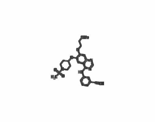 C#Cc1cccc(Nc2ncnc3cc(OCCOC)c(OC4CCN(S(C)(=O)=O)CC4)cc23)c1